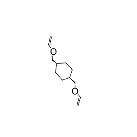 C=COC[C@H]1CC[C@@H](COC=C)CC1